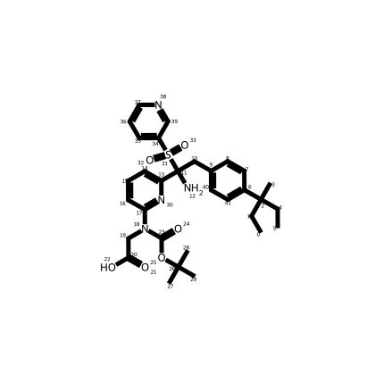 CCC(C)(CC)c1ccc(CC(N)(c2cccc(N(CC(=O)O)C(=O)OC(C)(C)C)n2)S(=O)(=O)c2cccnc2)cc1